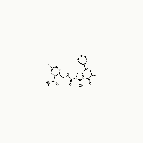 CNC(=O)c1cc(F)ccc1CNC(=O)c1nn2c(c1O)C(=O)N(C)C[C@@H]2c1ccccc1